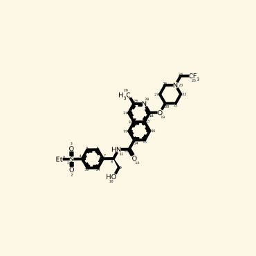 CCS(=O)(=O)c1ccc([C@H](CO)NC(=O)c2ccc3c(OC4CCN(CC(F)(F)F)CC4)nc(C)cc3c2)cc1